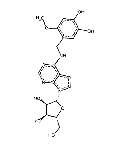 COc1cc(O)c(O)cc1CNc1ncnc2c1ncn2[C@@H]1O[C@H](CO)[C@@H](O)[C@H]1O